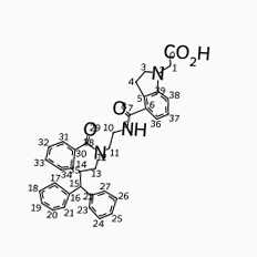 O=C(O)CN1CCc2c(C(=O)NCCN(CCC(c3ccccc3)c3ccccc3)C(=O)c3ccccc3)cccc21